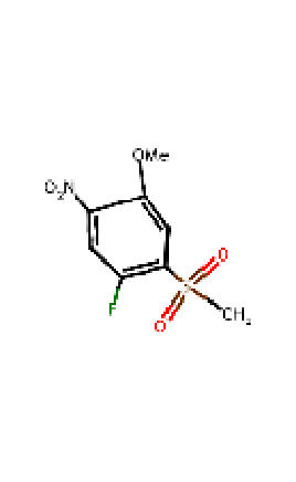 COc1cc(S(C)(=O)=O)c(F)cc1[N+](=O)[O-]